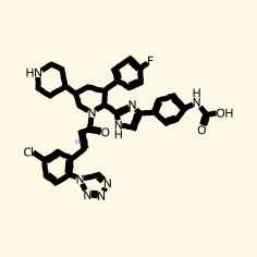 O=C(O)Nc1ccc(-c2c[nH]c(C3C(c4ccc(F)cc4)CC(C4CCNCC4)CN3C(=O)/C=C/c3cc(Cl)ccc3-n3cnnn3)n2)cc1